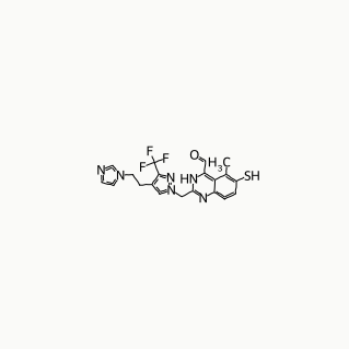 CC1=C(S)C=C=C2N=C(Cn3cc(CCn4ccnc4)c(C(F)(F)F)n3)NC(C=O)=C21